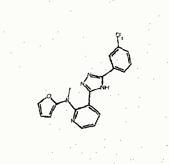 CN(c1ccco1)c1ncccc1-c1nnc(-c2cccc(C(F)(F)F)c2)[nH]1